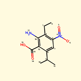 CCc1c([N+](=O)[O-])cc(C(C)C)c(C(=O)O)c1N